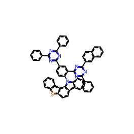 c1ccc(-c2nc(-c3ccccc3)nc(-c3ccc(-n4c5ccccc5c5ccc6sc7ccccc7c6c54)c(-c4nc(-c5ccccc5)nc(-c5ccc6ccccc6c5)n4)c3)n2)cc1